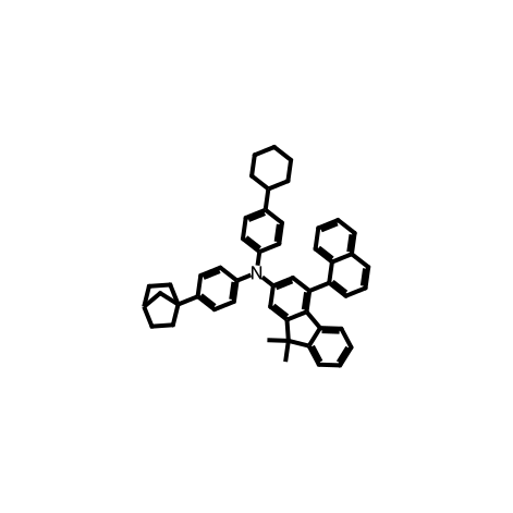 CC1(C)c2ccccc2-c2c(-c3cccc4ccccc34)cc(N(c3ccc(C4CCCCC4)cc3)c3ccc(C45CCC(CC4)C5)cc3)cc21